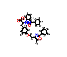 Cc1cc(CC(Nc2ccccc2C(=O)c2ccccc2)C(=O)O)ccc1OCCc1nc(-c2ccccc2)oc1C